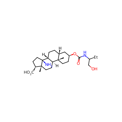 CCC(CO)NC(=O)O[C@H]1CC[C@@]2(C)[C@H](CC[C@@H]3[C@@H]2CC[C@]2(C)[C@@H](C(=O)O)CC[C@]32N)C1